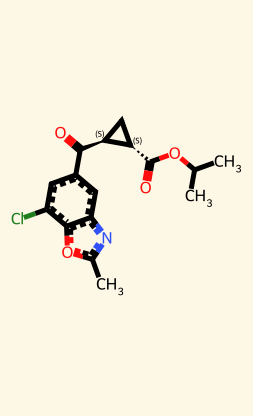 Cc1nc2cc(C(=O)[C@H]3C[C@@H]3C(=O)OC(C)C)cc(Cl)c2o1